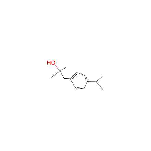 CC(C)c1ccc(CC(C)(C)O)cc1